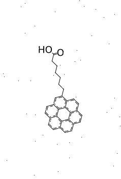 O=C(O)CCCCCCc1cc2ccc3ccc4ccc5ccc6ccc1c1c6c5c4c3c21